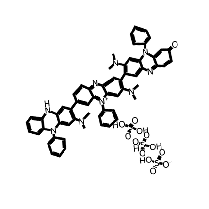 CN(C)c1cc2c(cc1-c1ccc3nc4cc(-c5cc6nc7ccc(=O)cc-7n(-c7ccccc7)c6cc5N(C)C)c(N(C)C)cc4[n+](-c4ccccc4)c3c1)Nc1ccccc1N2c1ccccc1.O=S(=O)(O)O.O=S(=O)(O)O.O=S(=O)([O-])O